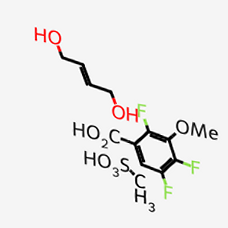 COc1c(F)c(F)cc(C(=O)O)c1F.CS(=O)(=O)O.OCC=CCO